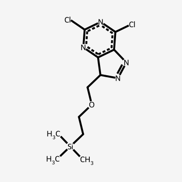 C[Si](C)(C)CCOCC1N=Nc2c(Cl)nc(Cl)nc21